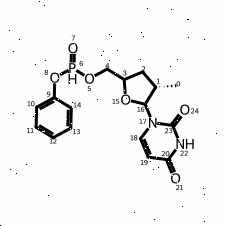 C[C@H]1CC(CO[PH](=O)Oc2ccccc2)OC1n1ccc(=O)[nH]c1=O